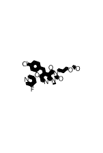 Cn1c(=O)n(CCCOC=O)c(=O)c2c(Cc3ccc(Cl)cc3)c(Oc3cncc(F)c3)cnc21